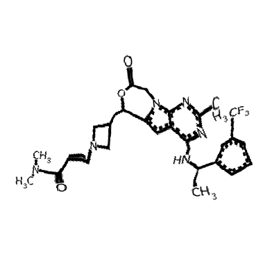 Cc1nc(N[C@H](C)c2cccc(C(F)(F)F)c2)c2cc3n(c2n1)CC(=O)OC3C1CN(C=CC(=O)N(C)C)C1